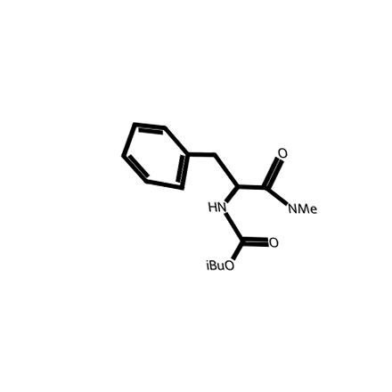 CNC(=O)C(Cc1ccccc1)NC(=O)OCC(C)C